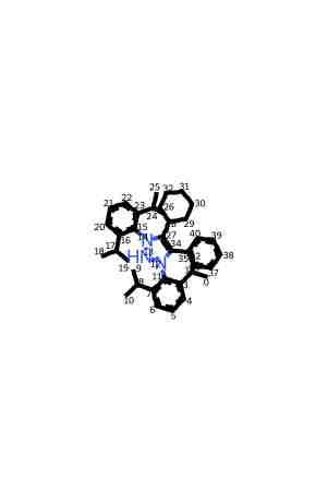 CC(C)c1cccc(C(C)C)c1N1NN(c2c(C(C)C)cccc2C(C)C)C(C2CCCCC2)=C1c1ccccc1